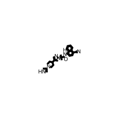 CC(C)(C(=O)Nc1ccc(C#N)c2ccccc12)n1cc(C2CCN(C3CNC3)CC2)cn1